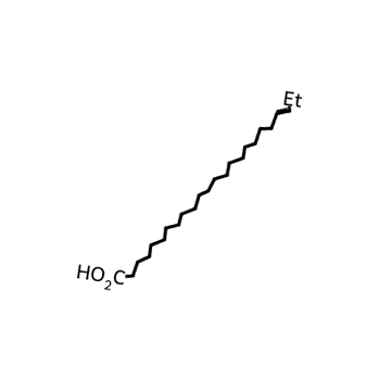 CCC=CCCCCCCCCCCCCCCCCCCCC(=O)O